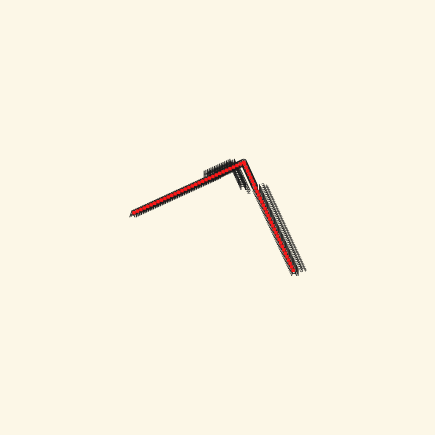 O.O.O.O.O.O.O.O.O.O.O.O.O.O.O.O.O.O.O.O.O.O.O.O.O.O.O.O.O.O.[Al+3].[Al+3].[Al+3].[Al+3].[Al+3].[Al+3].[Al+3].[Al+3].[Al+3].[Al+3].[Al+3].[Al+3].[Al+3].[Al+3].[Al+3].[Al+3].[Al+3].[Al+3].[Al+3].[Al+3].[Al+3].[Al+3].[Al+3].[Al+3].[Al+3].[Al+3].[Al+3].[Al+3].[Al+3].[Al+3].[Al+3].[Al+3].[Al+3].[Al+3].[Al+3].[Al+3].[Al+3].[Al+3].[Al+3].[Al+3].[Al+3].[Al+3].[Al+3].[Al+3].[Al+3].[Al+3].[Al+3].[Al+3].[Al+3].[Al+3].[Al+3].[Al+3].[Al+3].[Al+3].[Al+3].[Al+3].[Al+3].[Al+3].[Al+3].[Al+3].[Al+3].[Al+3].[Al+3].[Al+3].[Al+3].[Al+3].[Al+3].[Al+3].[Al+3].[Al+3].[Al+3].[Al+3].[Al+3].[Al+3].[Al+3].[Al+3].[Al+3].[Al+3].[Al+3].[Al+3].[Al+3].[Al+3].[Al+3].[Al+3].[Al+3].[Al+3].[Al+3].[Al+3].[Al+3].[Al+3].[Al+3].[Al+3].[Al+3].[Al+3].[Al+3].[Al+3].[Al+3].[Al+3].[Al+3].[Al+3]